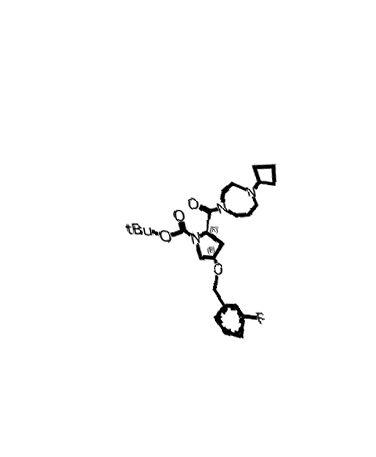 CC(C)(C)OC(=O)N1C[C@H](OCc2cccc(F)c2)C[C@@H]1C(=O)N1CCCN(C2CCC2)CC1